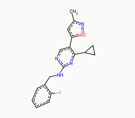 Cc1cc(-c2cnc(NCc3ccccc3F)nc2C2CC2)on1